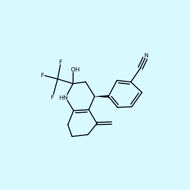 C=C1CCCC2=C1[C@H](c1cccc(C#N)c1)CC(O)(C(F)(F)F)N2